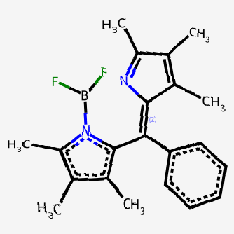 CC1=N/C(=C(/c2ccccc2)c2c(C)c(C)c(C)n2B(F)F)C(C)=C1C